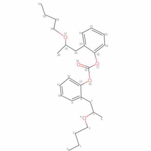 CCCCOC(C)Cc1ccccc1OC(=O)Oc1ccccc1CC(C)OCCCC